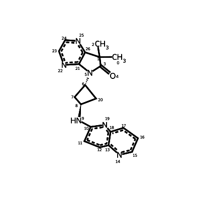 CC1(C)C(=O)N([C@H]2C[C@H](Nc3ccc4ncccc4n3)C2)c2nccnc21